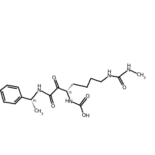 CNC(=O)NCCCC[C@H](NC(=O)O)C(=O)C(=O)N[C@H](C)c1ccccc1